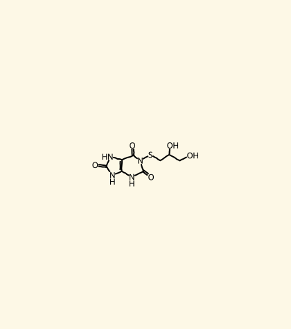 O=c1[nH]c2[nH]c(=O)n(SCC(O)CO)c(=O)c2[nH]1